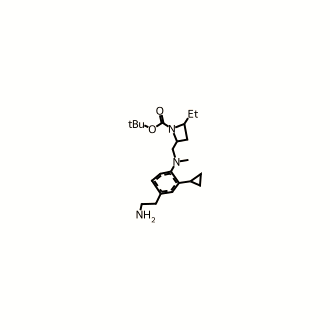 CCC1CC(CN(C)c2ccc(CCN)cc2C2CC2)N1C(=O)OC(C)(C)C